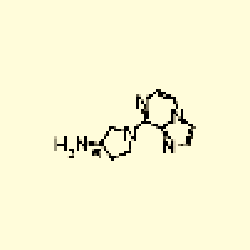 N[C@@H]1CCN(c2nccn3ccnc23)C1